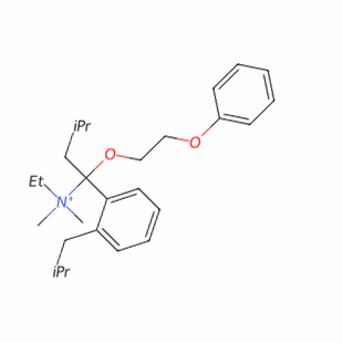 CC[N+](C)(C)C(CC(C)C)(OCCOc1ccccc1)c1ccccc1CC(C)C